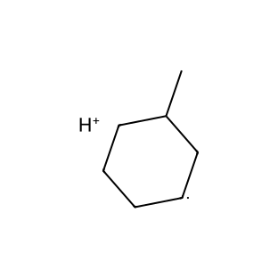 CC1C[CH]CCC1.[H+]